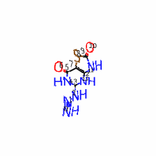 N=NNC1NC(=O)c2sc(=O)[nH]c2N1